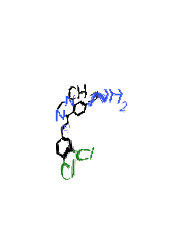 CN1CCN=C(/C=C/c2ccc(Cl)c(Cl)c2)c2ccc(N)cc21